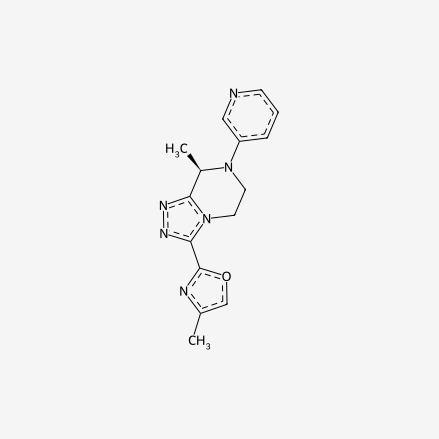 Cc1coc(-c2nnc3n2CCN(c2cccnc2)[C@@H]3C)n1